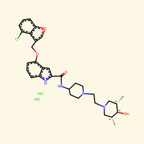 C[C@@H]1CN(CCN2CCC(NC(=O)c3cc4c(OCc5coc6cccc(Cl)c56)cccc4[nH]3)CC2)C[C@H](C)[C@H]1O.Cl.Cl